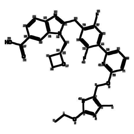 CCOc1nc(C)c(COc2cccc(-c3cc(F)c(Cc4nc5ccc(C(=O)O)cc5n4C[C@@H]4CCO4)cc3F)n2)s1